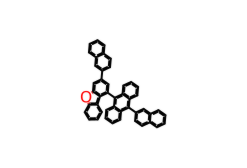 c1ccc2cc(-c3cc(-c4c5ccccc5c(-c5ccc6ccccc6c5)c5ccccc45)c4c(c3)oc3ccccc34)ccc2c1